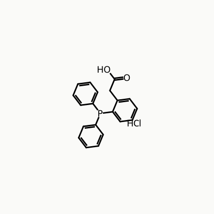 Cl.O=C(O)Cc1ccccc1P(c1ccccc1)c1ccccc1